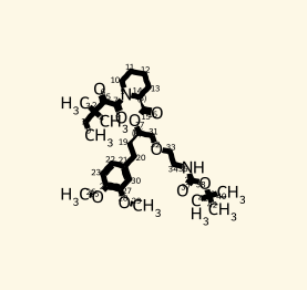 CCC(C)(C)C(=O)C(=O)N1CCCC[C@H]1C(=O)O[C@H](CCc1ccc(OC)c(OC)c1)COCCNC(=O)OC(C)(C)C